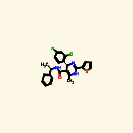 CC1=C(C(=O)N[C@@H](C)c2ccccc2)[C@H](c2ccc(F)cc2Cl)N=C(c2cccs2)N1